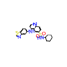 O=S(=O)(NC1CCCCC1)c1ccc2nccc(Nc3ccc4scnc4c3)c2c1